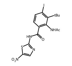 CC(=O)Nc1c(C(=O)Nc2ncc([N+](=O)[O-])s2)ccc(I)c1C(C)(C)C